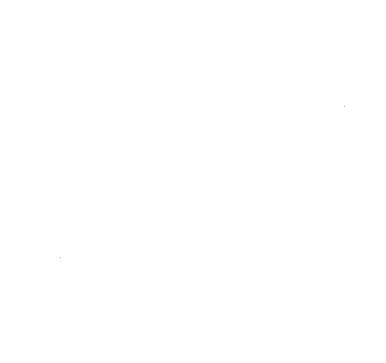 CCCCCCc1ccc(-c2cc3c(s2)-c2cc4c(cc2C3)-c2sc(-c3ccc(CCCCCC)s3)cc2C4)s1